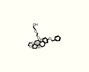 C[C@]12C[C@H](OCCOCCO)[C@@H]3c4ccc(OCc5ccccc5)cc4CC[C@H]3[C@@H]1CCC21OCCO1